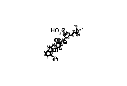 CC(C)Cc1cccc2nc(Cn3c(Cl)ccc(NC(=O)[C@@H](CC/C=C/C(=O)N(C)C)CN(C)C(=O)O)c3=O)[nH]c12